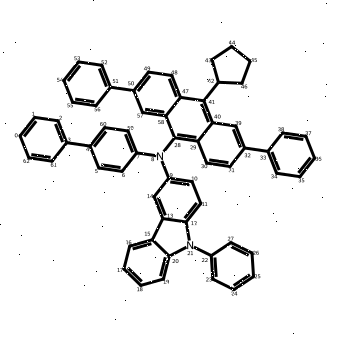 c1ccc(-c2ccc(N(c3ccc4c(c3)c3ccccc3n4-c3ccccc3)c3c4ccc(-c5ccccc5)cc4c(C4CCCC4)c4ccc(-c5ccccc5)cc34)cc2)cc1